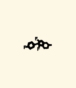 CC1CCc2c(cc(F)c(-c3ccc(F)cc3)c2F)C1